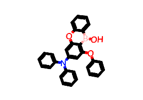 OB1c2ccccc2Oc2cc(N(c3ccccc3)c3ccccc3)cc(Oc3ccccc3)c21